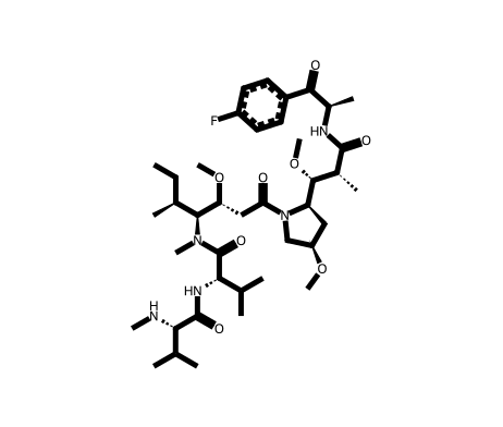 CC[C@H](C)[C@@H]([C@@H](CC(=O)N1C[C@H](OC)C[C@@H]1[C@H](OC)[C@@H](C)C(=O)N[C@H](C)C(=O)c1ccc(F)cc1)OC)N(C)C(=O)[C@@H](NC(=O)[C@@H](NC)C(C)C)C(C)C